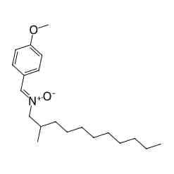 CCCCCCCCCC(C)C/[N+]([O-])=C/c1ccc(OC)cc1